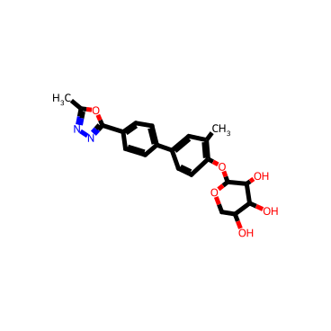 Cc1nnc(-c2ccc(-c3ccc(OC4OCC(O)C(O)C4O)c(C)c3)cc2)o1